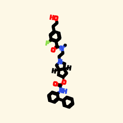 CN(CCN1C[C@H]2C[C@H](OC(=O)Nc3ccccc3-c3ccccc3)C[C@H]2C1)C(=O)c1ccc(CCO)cc1F